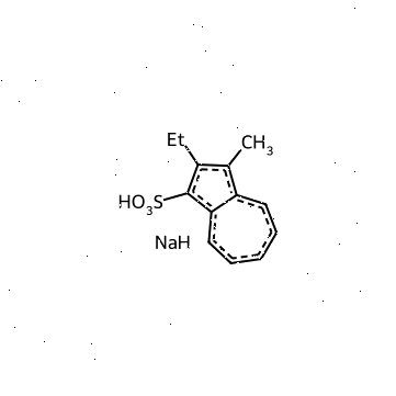 CCc1c(C)c2cccccc-2c1S(=O)(=O)O.[NaH]